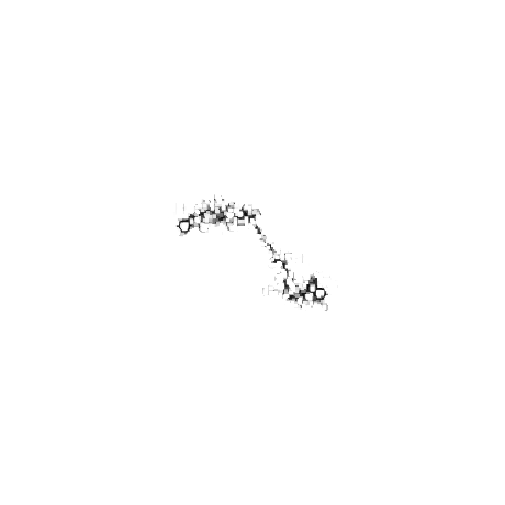 CN[C@H](C(=O)NC(C(=O)N(C)C/C=C(\C)C(=O)NCCSSCCNC(=O)/C(C)=C/CN(C)C(=O)[C@@H](NC(=O)[C@@H](NC)C(C)(C)c1cc2ccccc2n1C)C(C)(C)C)C(C)(C)C)C(C)(C)c1cn(C)c2ccccc12